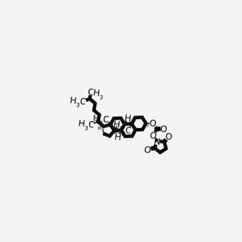 CC(C)CCC[C@@H](C)[C@H]1CC[C@H]2[C@@H]3CCC4C[C@@H](OC(=O)ON5C(=O)CCC5=O)CC[C@]4(C)[C@H]3CC[C@]12C